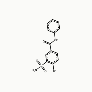 NS(=O)(=O)c1cc(C(=O)Nc2ccccc2)ccc1Br